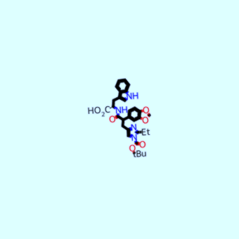 CCc1nc(CC(C(=O)N[C@@H](Cc2c[nH]c3ccccc23)C(=O)O)c2ccc3c(c2)OCO3)cn1C(=O)OC(C)(C)C